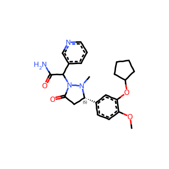 COc1ccc([C@@H]2CC(=O)N(C(C(N)=O)c3cccnc3)N2C)cc1OC1CCCC1